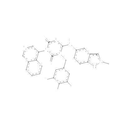 Cn1cc2cc(Nc3nc(=O)n(-c4cncc5ccccc45)c(=O)n3Cc3cc(F)c(F)c(F)c3)ccc2n1